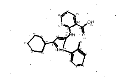 Cc1ccccc1-n1nc(C2CCCCC2)cc1Nc1ncccc1C(=O)O